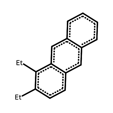 CCc1ccc2cc3ccccc3cc2c1CC